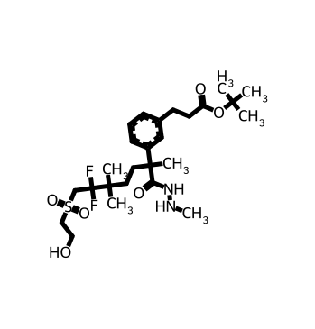 CNNC(=O)C(C)(CCC(C)(C)C(F)(F)CS(=O)(=O)CCO)c1cccc(CCC(=O)OC(C)(C)C)c1